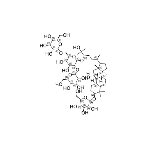 C[C@H](CC[C@@H](O[C@@H]1O[C@H](CO[C@@H]2O[C@H](CO)[C@@H](O)[C@H](O)[C@H]2O)[C@@H](O)[C@H](O)[C@H]1O[C@@H]1O[C@H](CO)[C@@H](O)[C@H](O)[C@H]1O)C(C)(C)O)C1CC[C@@]2(C)[C@@H]3CC=C4[C@@H](CC[C@H](O[C@@H]5O[C@H](CO)[C@@H](O)[C@H](O)[C@H]5O)C4(C)C)[C@]3(C)[C@H](O)C[C@]12C